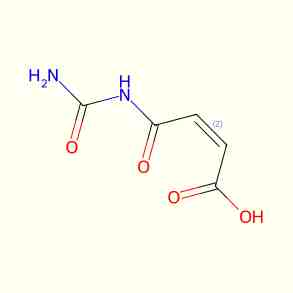 NC(=O)NC(=O)/C=C\C(=O)O